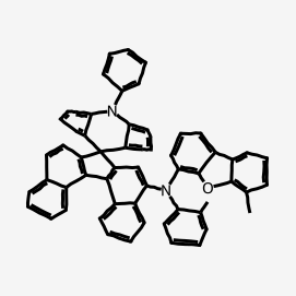 Cc1ccccc1N(c1cc2c(c3ccccc13)-c1c(ccc3ccccc13)C21c2ccccc2N(c2ccccc2)c2ccccc21)c1cccc2c1oc1c(C)cccc12